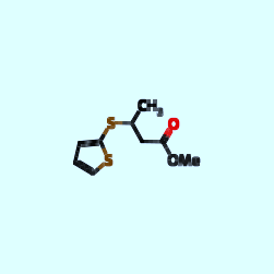 COC(=O)CC(C)Sc1cccs1